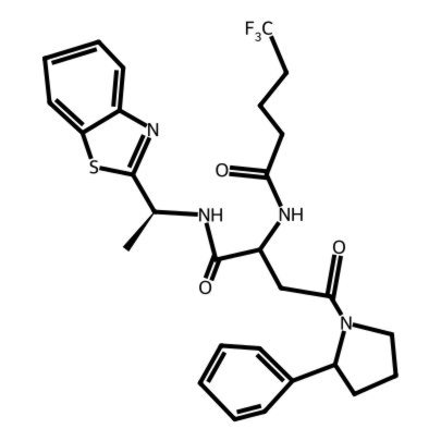 C[C@H](NC(=O)C(CC(=O)N1CCCC1c1ccccc1)NC(=O)CCCC(F)(F)F)c1nc2ccccc2s1